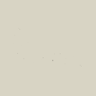 N#COc1ccc(OS(=O)Oc2ccc(OC#N)cc2)cc1